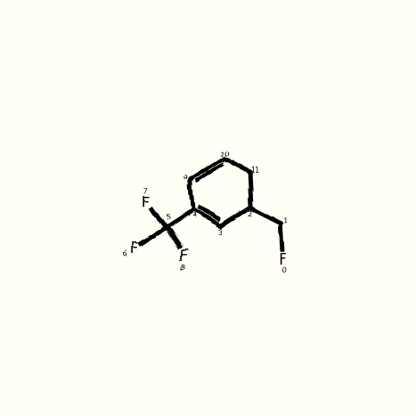 FCC1C=C(C(F)(F)F)C=[C]C1